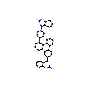 Cc1nc(-c2ccc(-c3ccccc3-c3ccccc3-c3ccc(-c4nc(C)nc5ccccc45)cc3)cc2)c2ccccc2n1